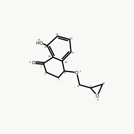 O=C1CCC(OCC2CO2)c2cccc(O)c21